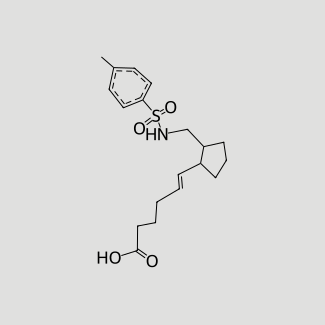 Cc1ccc(S(=O)(=O)NCC2CCCC2/C=C/CCCC(=O)O)cc1